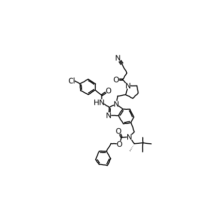 C[C@H](N(Cc1ccc2c(c1)nc(NC(=O)c1ccc(Cl)cc1)n2CC1CCCN1C(=O)CC#N)C(=O)OCc1ccccc1)C(C)(C)C